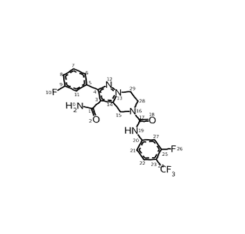 NC(=O)c1c(-c2cccc(F)c2)nn2c1CN(C(=O)Nc1ccc(C(F)(F)F)c(F)c1)CC2